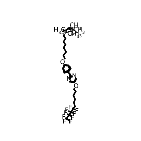 C[Si](C)(C)C[Si](C)(C)CCCCCCCCOc1ccc(-c2ncc(OCCCCCCC(F)(F)C(F)(F)C(F)(F)C(F)(F)F)cn2)cc1